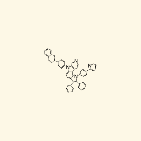 c1ccc(-c2c(-c3ccccc3)n(-c3ccc(-c4ccccn4)cc3)c3c2ccc2c3c3ccncc3n2-c2ccc(-c3ccc4ccccc4c3)cc2)cc1